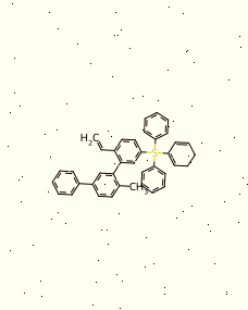 C=Cc1ccc(S(C2=CCCC=C2)(c2ccccc2)c2ccccc2)cc1-c1cc(-c2ccccc2)ccc1C